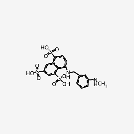 CNc1cccc(CNc2ccc(S(=O)(=O)O)c3cc(S(=O)(=O)O)cc(S(=O)(=O)O)c23)c1